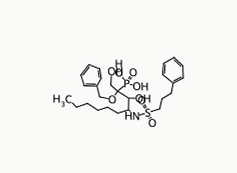 CCCCCCC(NS(=O)(=O)CCCc1ccccc1)C(O)C(CO)(OCc1ccccc1)P(=O)(O)O